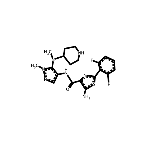 CN(c1c(NC(=O)c2nc(-c3c(F)cccc3F)sc2N)cnn1C)C1CCNCC1